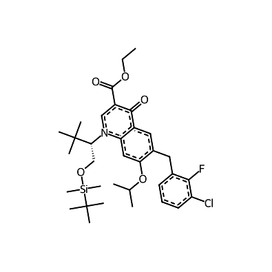 CCOC(=O)c1cn([C@H](CO[Si](C)(C)C(C)(C)C)C(C)(C)C)c2cc(OC(C)C)c(Cc3cccc(Cl)c3F)cc2c1=O